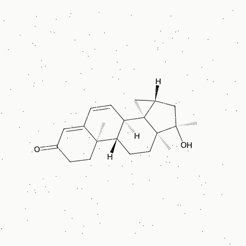 C[C@]12CC[C@H]3[C@@H](C=CC4=CC(=O)CC[C@@]43C)[C@]13C[C@@H]3C[C@@]2(C)O